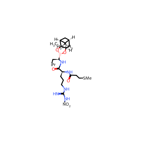 CSCCC(=O)N[C@@H](CCCNC(=N)N[N+](=O)[O-])C(=O)N[C@@H](CC(C)C)B1O[C@@H]2C[C@@H]3C[C@@H](C3(C)C)[C@]2(C)O1